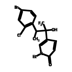 CCn1cc(C(O)(C(C)c2ccc(Br)cc2Cl)C(F)(F)F)ccc1=O